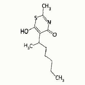 CCCCCC(C)c1c(O)sc(C)nc1=O